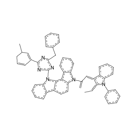 C=C(/C=c1\c(=C/C)n(-c2ccccc2)c2ccccc12)n1c2ccccc2c2c1ccc1c3ccccc3n(-c3nc(Cc4ccccc4)nc(C4=CC(C)CC=C4)n3)c12